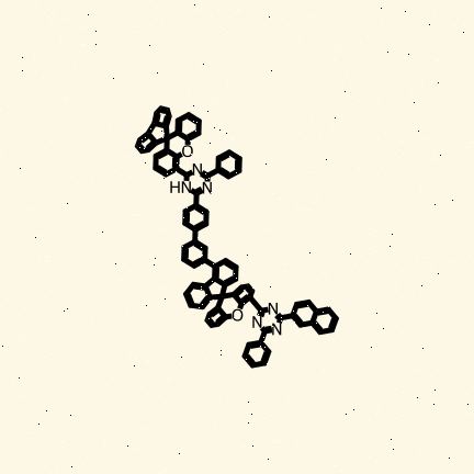 c1ccc(C2=NC(c3cccc4c3Oc3ccccc3C43c4ccccc4-c4ccccc43)NC(c3ccc(-c4cccc(-c5cccc6c5-c5ccccc5C65c6ccccc6Oc6c(-c7nc(-c8ccccc8)nc(-c8ccc9ccccc9c8)n7)cccc65)c4)cc3)=N2)cc1